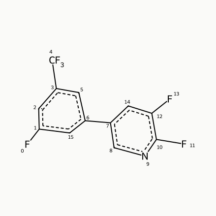 Fc1[c]c(C(F)(F)F)cc(-c2cnc(F)c(F)c2)c1